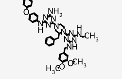 CCNc1nc(NCc2ccc(OC)c(OC)c2)nc(N2CCN(c3nc(N)nc(Nc4ccc(Oc5ccccc5)cc4)n3)CC2Cc2ccccc2)n1